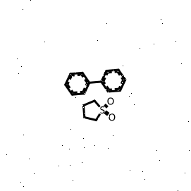 O=S1(=O)CCCC1.c1ccc(-c2ccccc2)cc1